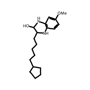 COc1ccc2c(c1)NC(O)C(CCCCCC1CCCC1)N2